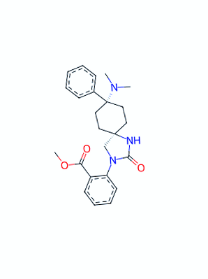 COC(=O)c1ccccc1N1C[C@]2(CC[C@@](c3ccccc3)(N(C)C)CC2)NC1=O